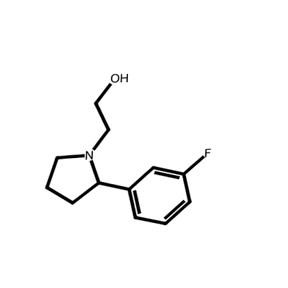 OCCN1CCCC1c1cccc(F)c1